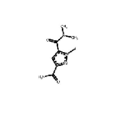 CN(C)C(=O)c1cc(C(N)=O)nn1I